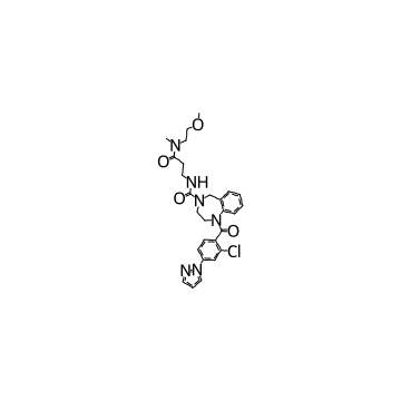 COCCN(C)C(=O)CCNC(=O)N1CCN(C(=O)c2ccc(-n3cccn3)cc2Cl)c2ccccc2C1